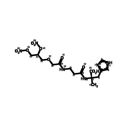 C[C@@](Cc1c[nH]cn1)(NC(=O)CCNC(=O)COC[C@@H](CO[N+](=O)[O-])O[N+](=O)[O-])C(=O)O